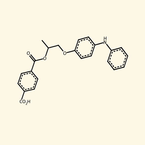 CC(COc1ccc(Nc2ccccc2)cc1)OC(=O)c1ccc(C(=O)O)cc1